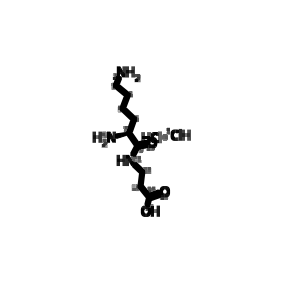 Cl.Cl.NCCCC[C@H](N)C(=O)NCCC(=O)O